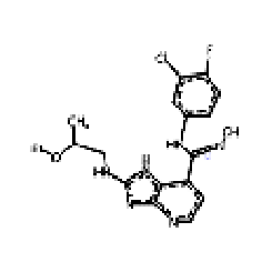 CCOC(C)CNc1nc2nccc(/C(=N/O)Nc3ccc(F)c(Cl)c3)c2[nH]1